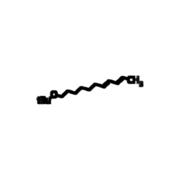 CC=CC=CCCCCCCOC(C)(C)C